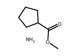 COC(=O)C1CCCC1.N